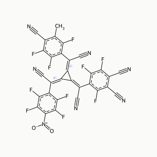 Cc1c(F)c(/C(C#N)=C2/C(=C(C#N)c3c(F)c(F)c(C#N)c(C#N)c3F)/C2=C(/C#N)c2c(F)c(F)c([N+](=O)[O-])c(F)c2F)c(F)c(F)c1C#N